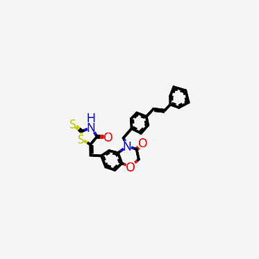 O=C1NC(=S)SC1=Cc1ccc2c(c1)N(Cc1ccc(C=Cc3ccccc3)cc1)C(=O)CO2